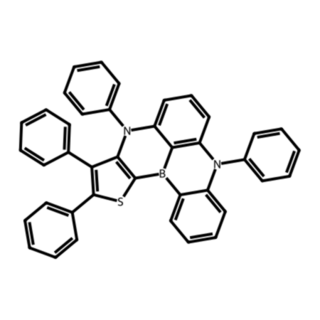 c1ccc(-c2sc3c(c2-c2ccccc2)N(c2ccccc2)c2cccc4c2B3c2ccccc2N4c2ccccc2)cc1